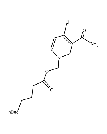 CCCCCCCCCCCCCC(=O)OCN1C=CC(Cl)=C(C(N)=O)C1